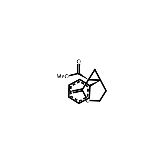 COC(=O)[C@@]12C[C@]1(c1ccccc1)CCOC2=O